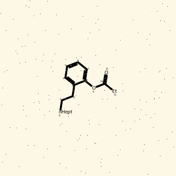 CCCCCCCCCc1ccccc1OC(=O)CC